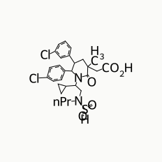 CCCN(CC(C1CC1)N1C(=O)C(C)(CC(=O)O)CC(c2cccc(Cl)c2)C1c1ccc(Cl)cc1)[SH](=O)=O